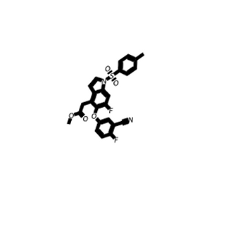 COC(=O)Cc1c(Oc2ccc(F)c(C#N)c2)c(F)cc2c1ccn2S(=O)(=O)c1ccc(C)cc1